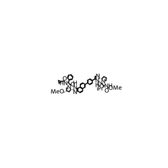 COC[C@H]1C[C@@H](c2nc3ccc4cc(-c5ccc(-c6cnc([C@@H]7CCCN7C(=O)C(NC(=O)OC)C(C)C)[nH]6)cc5)ccc4c3[nH]2)N(C(=O)[C@H](NC(=O)C2CC2)c2ccccc2)C1